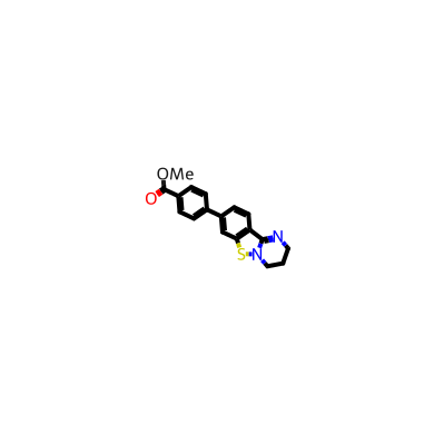 COC(=O)c1ccc(-c2ccc3c(c2)SN2CCCN=C32)cc1